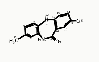 Cc1ccc2c(c1)NC(=O)c1cc(Cl)ccc1N2